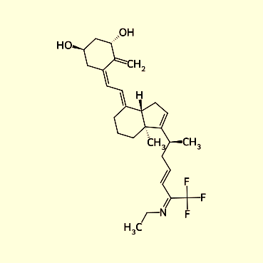 C=C1/C(=C\C=C2/CCC[C@]3(C)C([C@@H](C)C/C=C/C(=N\CC)C(F)(F)F)=CC[C@@H]23)C[C@@H](O)C[C@@H]1O